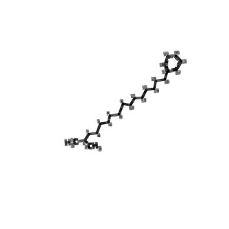 CC(C)CCCCCCCCCCCCCCc1[c]cccc1